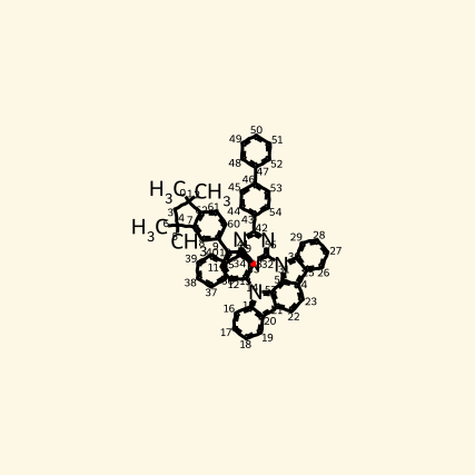 CC1(C)CC(C)(C)c2cc(-c3ccc(-n4c5ccccc5c5ccc6c7ccccc7n(-c7nc(-c8ccccc8)nc(-c8ccc(-c9ccccc9)cc8)n7)c6c54)cc3)ccc21